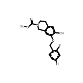 CC(C)(C)OC(=O)N1CCc2cc(C#N)c(OCc3ccc(Cl)cc3F)cc2C1